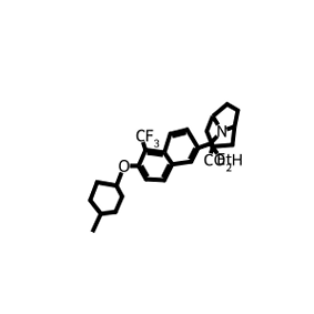 CCC(c1ccc2c(C(F)(F)F)c(OC3CCC(C)CC3)ccc2c1)N1C2CCC1CC(C(=O)O)C2